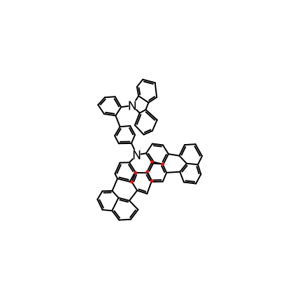 c1ccc(-c2cccc3cccc(-c4ccc(N(c5ccc(-c6ccccc6-n6c7ccccc7c7ccccc76)cc5)c5ccc(-c6cccc7cccc(-c8ccccc8)c67)cc5)cc4)c23)cc1